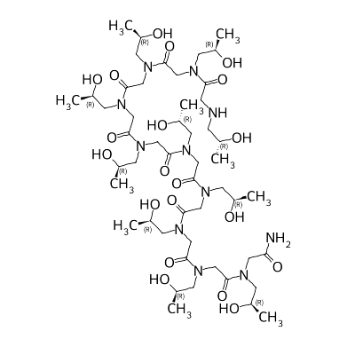 C[C@@H](O)CNCC(=O)N(CC(=O)N(CC(=O)N(CC(=O)N(CC(=O)N(CC(=O)N(CC(=O)N(CC(=O)N(CC(=O)N(CC(N)=O)C[C@@H](C)O)C[C@@H](C)O)C[C@@H](C)O)C[C@@H](C)O)C[C@@H](C)O)C[C@@H](C)O)C[C@@H](C)O)C[C@@H](C)O)C[C@@H](C)O